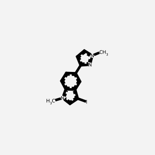 Cn1ccc(-c2ccc3c(c2)c(I)cn3C)n1